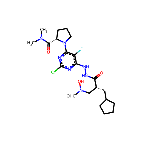 CN(C)C(=O)[C@@H]1CCCN1c1nc(Cl)nc(NNC(=O)[C@H](CC2CCCC2)CN(O)C=O)c1F